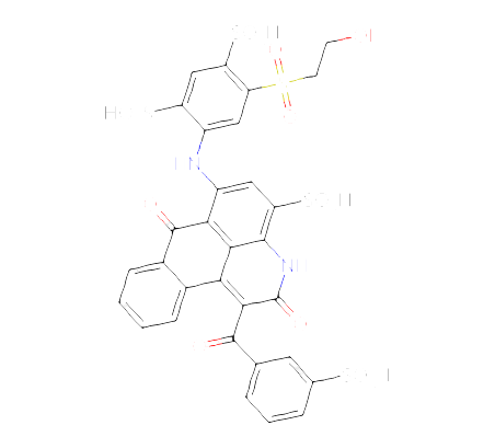 O=C(c1cccc(S(=O)(=O)O)c1)c1c2c3c(c(Nc4cc(S(=O)(=O)CCO)c(S(=O)(=O)O)cc4S(=O)(=O)O)cc(S(=O)(=O)O)c3[nH]c1=O)C(=O)c1ccccc1-2